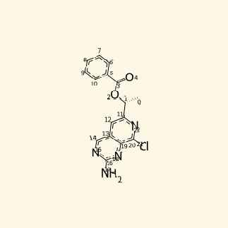 C[C@@H](OC(=O)c1ccccc1)c1cc2cnc(N)nc2c(Cl)n1